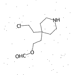 O=COCCC1(CCCl)CCNCC1